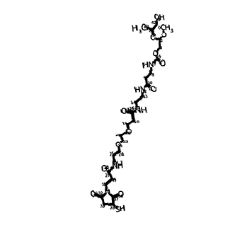 COC(COC(=O)NCCC(=O)NCCNC(=O)CCOCCOCCNC(=O)CCN1C(=O)CC(S)C1=O)OC(C)CO